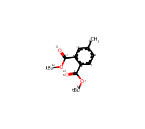 Cc1ccc(C(=O)OC(C)(C)C)c(C(=O)OC(C)(C)C)c1